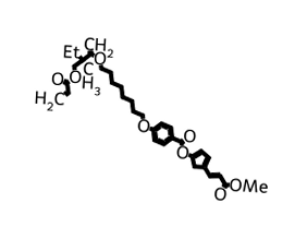 C=CC(=O)OCC(C)(CC)C(=C)OCCCCCCCCOc1ccc(C(=O)OC2=CC=C(/C=C/C(=O)OC)C2)cc1